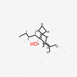 CCCC[C@](O)(CC)C1(CC=C(C)C)CCC1